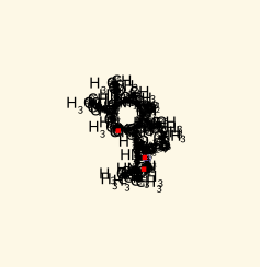 CNC(=O)c1ccccc1Sc1ccc2c(/C=C/c3ccccn3)nn(C(=O)N(CCNC(=O)CC[C@H](NC(=O)OC(C)(C)C)C(=O)OC(C)(C)C)CCC(=O)N[C@H]3CCNC(=O)[C@H]([C@@H](C)O)NC(=O)[C@H](CCCNC(=O)OC(C)(C)C)NC(=O)[C@H](CCNC(=O)OC(C)(C)C)NC(=O)[C@H](CC(C)C)NC(=O)[C@@H](Cc4ccccc4)NC(=O)[C@H](CCNC(=O)OC(C)(C)C)NC3=O)c2c1